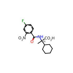 C[C@@](NC(=O)c1ccc(F)cc1[N+](=O)[O-])(C(=O)O)C1CCCCC1